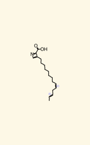 C/C=C/C/C=C\CCCCCCCCC1=CN=C1C(=O)O